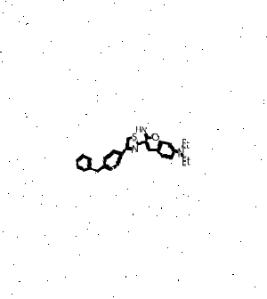 CCN(CC)c1ccc2cc(-c3nc(-c4ccc(Cc5ccccc5)cc4)cs3)c(=N)oc2c1